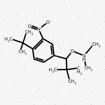 C[SiH](C)OC(c1ccc(C(C)(C)C)c([N+](=O)[O-])c1)C(C)(C)C